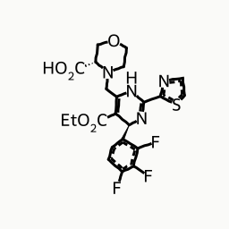 CCOC(=O)C1=C(CN2CCOC[C@H]2C(=O)O)NC(c2nccs2)=N[C@H]1c1ccc(F)c(F)c1F